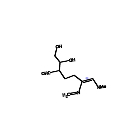 C=N/C(=C\NC)CCC(C=O)C(O)CO